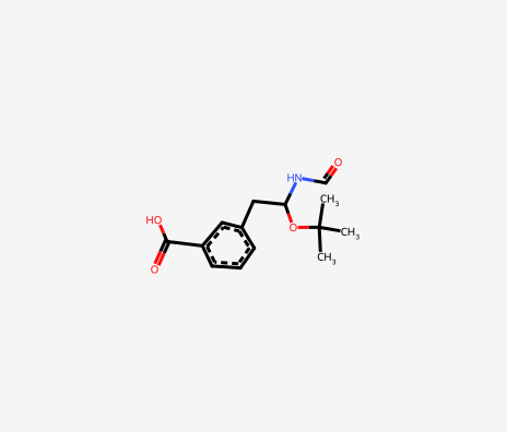 CC(C)(C)OC(Cc1cccc(C(=O)O)c1)NC=O